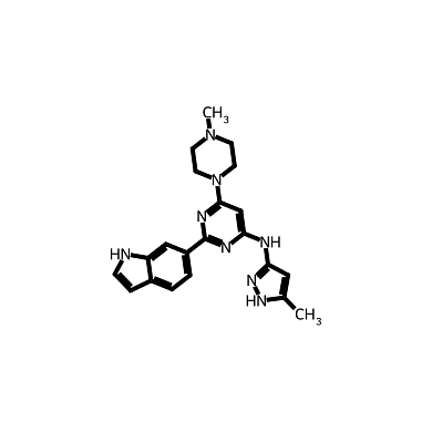 Cc1cc(Nc2cc(N3CCN(C)CC3)nc(-c3ccc4cc[nH]c4c3)n2)n[nH]1